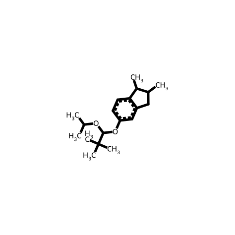 CC(C)OC(Oc1ccc2c(c1)CC(C)C2C)C(C)(C)C